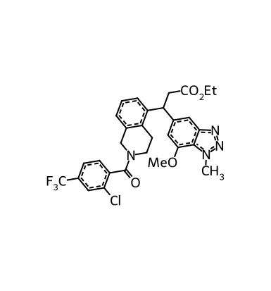 CCOC(=O)CC(c1cc(OC)c2c(c1)nnn2C)c1cccc2c1CCN(C(=O)c1ccc(C(F)(F)F)cc1Cl)C2